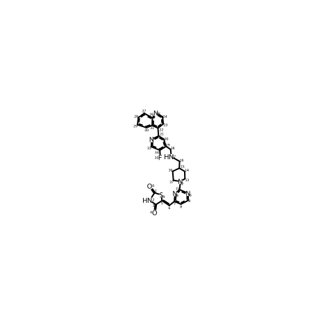 O=C1NC(=O)C(=Cc2ccnc(N3CCC(CNCc4cc(-c5ccnc6ccccc56)ncc4F)CC3)n2)S1